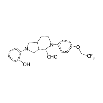 O=CC1C2CN(c3ccccc3O)CC2CCN1c1ccc(OCC(F)(F)F)cc1